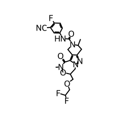 CC1Cc2nn3c(c2CN1C(=O)Nc1ccc(F)c(C#N)c1)C(=O)N(C)OC(COCC(F)F)C3